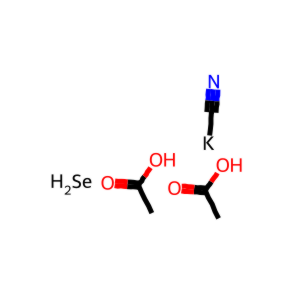 CC(=O)O.CC(=O)O.N#[C][K].[SeH2]